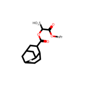 CCCOC(=O)C(OC(=O)C1CC2CC3CCC1C(C3)C2)S(=O)(=O)O